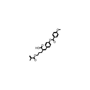 C=C(C)C(=O)OCCCC(=Cc1ccc(OC(=O)c2ccc(OC)cc2)cc1)C(=O)O